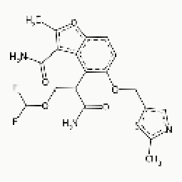 Cc1ncc(COc2ccc3oc(C)c(C(N)=O)c3c2C(COC(F)F)C(N)=O)s1